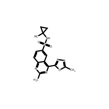 Cc1nc(-c2nnc(C)o2)c2cc(S(=O)(=O)NC3(C#N)CC3)ccc2n1